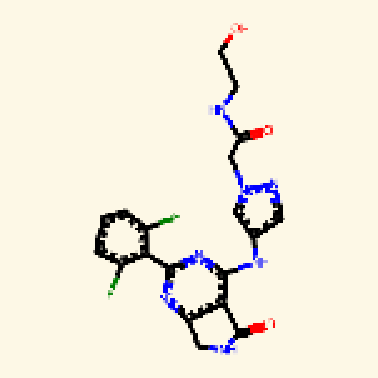 O=C(Cn1cc(Nc2nc(-c3c(F)cccc3F)nc3c2C(=O)NC3)cn1)NCCO